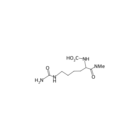 CNC(=O)C(CCCCNC(N)=O)NC(=O)O